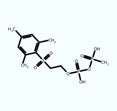 Cc1cc(C)c(S(=O)(=O)CCOP(=O)(O)OP(C)(=O)O)c(C)c1